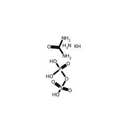 N.NC(N)=O.O=P(O)(O)OS(=O)(=O)O.[KH]